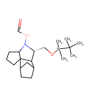 CC(C)(C)[Si](C)(C)OC[C@@H]1C2C3CCC(C3)C23CCCC3N1BC=O